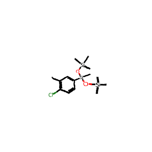 Cc1cc([Si](C)(O[Si](C)(C)C)O[Si](C)(C)C)ccc1Cl